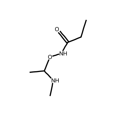 CCC(=O)NOC(C)NC